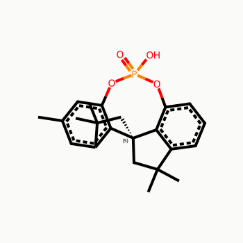 Cc1cc2c3c(c1)C(C)(C)C[C@]31CC(C)(C)c3cccc(c31)OP(=O)(O)O2